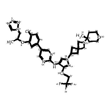 CC(Cn1cnnn1)Oc1cc(-c2cnc(Nc3cn(C4CC5(C4)CN(C4(C)CCOCC4)C5)nc3OCC(F)(F)F)nc2)ccc1Cl